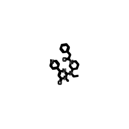 CCN(c1nc(-c2ccncc2)cc(=O)n1C)C1CCCN(C(=O)Cc2ccccc2)C1